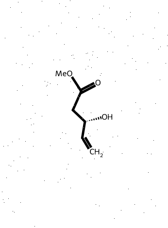 C=C[C@@H](O)CC(=O)OC